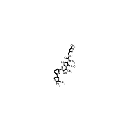 Cc1cc(CNC(=O)N(C)C2=C(C=O)N([C@@H](C)C(O)Nc3cccc(-c4cnc(C(F)(F)F)c(C)c4)n3)CN2)no1